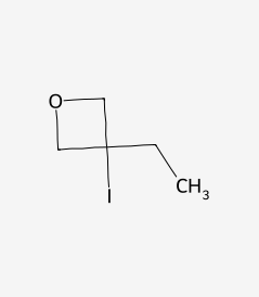 CCC1(I)COC1